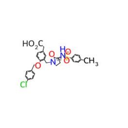 Cc1ccc(S(=O)(=O)N[C@H]2CCN(Cc3cc(CC(=O)O)ccc3OCc3ccc(Cl)cc3)C2=O)cc1